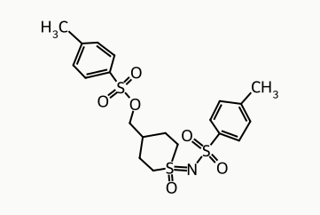 Cc1ccc(S(=O)(=O)N=S2(=O)CCC(COS(=O)(=O)c3ccc(C)cc3)CC2)cc1